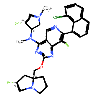 CN(c1nc(OC[C@@]23CCCN2C[C@H](F)C3)nc2c(F)c(-c3cccc4cccc(Cl)c34)ncc12)[C@@H]1CN(C(=O)O)C[C@H]1F